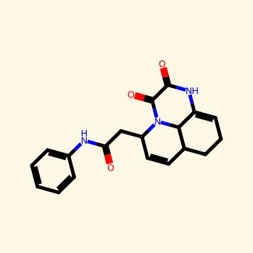 O=C(CC1C=CC2CCC=C3NC(=O)C(=O)N1C32)Nc1ccccc1